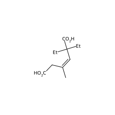 CCC(C=C(C)CC(=O)O)(CC)C(=O)O